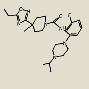 CCc1nc(C2(C)CCN(C(=O)Nc3c(F)cccc3N3CCN(C(C)C)CC3)CC2)no1